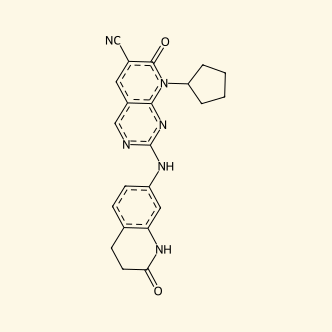 N#Cc1cc2cnc(Nc3ccc4c(c3)NC(=O)CC4)nc2n(C2CCCC2)c1=O